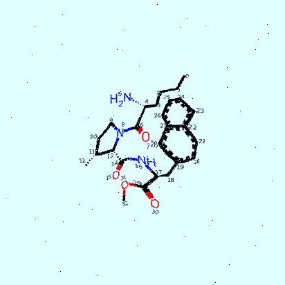 CCCC[C@@H](N)C(=O)N1CC[C@@H](C)[C@H]1C(=O)N[C@@H](Cc1ccc2ccccc2c1)C(=O)OC